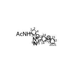 CC(=O)Nc1cccc(Oc2ncncc2-c2ccc(Oc3ccccc3)cc2)c1